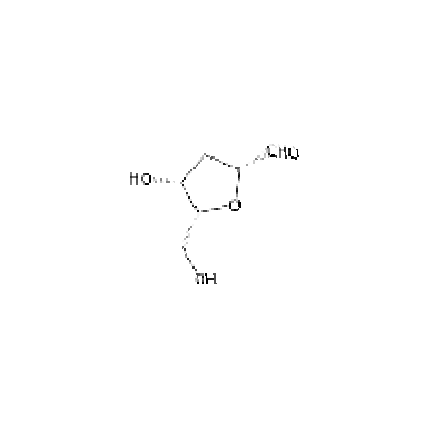 O=C[C@H]1C[C@@H](O)[C@@H](CO)O1